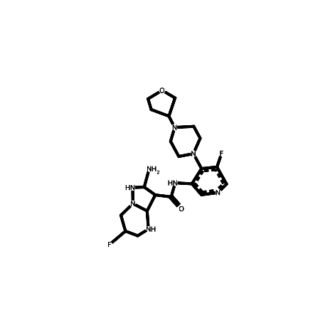 NC1NN2CC(F)CNC2C1C(=O)Nc1cncc(F)c1N1CCN(C2CCOC2)CC1